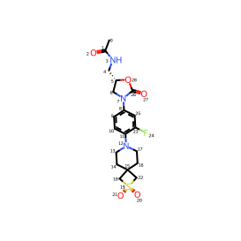 CC(=O)NC[C@H]1CN(c2ccc(N3CCC4(CC3)CS(=O)(=O)C4)c(F)c2)C(=O)O1